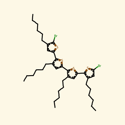 CCCCCCc1cc(-c2sc(-c3sc(-c4sc(Br)cc4CCCCCC)cc3CCCCCC)cc2CCCCCC)sc1Br